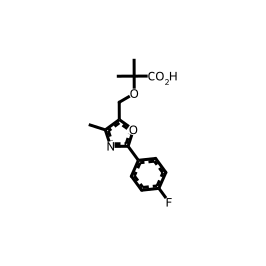 Cc1nc(-c2ccc(F)cc2)oc1COC(C)(C)C(=O)O